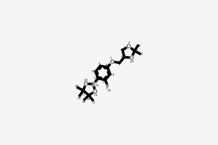 CC1(C)OCC(COc2ccc(B3OC(C)(C)C(C)(C)O3)c(F)c2)O1